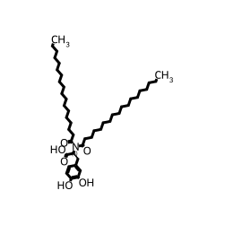 CCCCCCCCCCCCCCCCCC(=O)N(C(=O)CCCCCCCCCCCCCCCCC)[C@@H](Cc1ccc(O)c(O)c1)C(=O)O